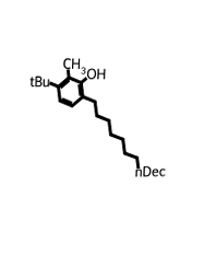 CCCCCCCCCCCCCCCCCc1ccc(C(C)(C)C)c(C)c1O